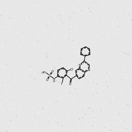 CCCS(=O)(=O)Nc1ccc(Cl)c(C(=O)c2ccc3ncc(-c4ccccc4)nc3c2)c1F